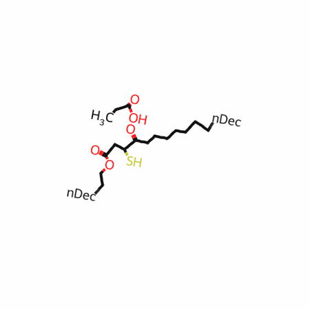 CCC(=O)O.CCCCCCCCCCCCCCCCCC(=O)C(S)CC(=O)OCCCCCCCCCCCC